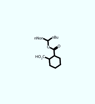 CCCCCCCCCC(CCCC)OC(=O)C1CCCCC1C(=O)O